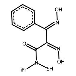 CC(C)N(S)C(=O)C(=N\O)/C(=N/O)c1ccccc1